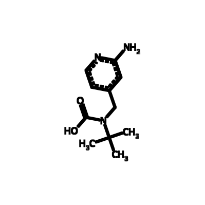 CC(C)(C)N(Cc1ccnc(N)c1)C(=O)O